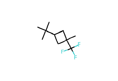 CC(C)(C)C1CC(C)(C(F)(F)F)C1